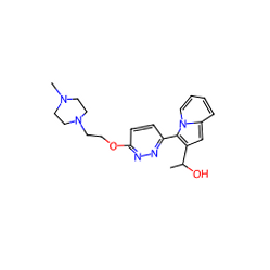 CC(O)c1cc2ccccn2c1-c1ccc(OCCN2CCN(C)CC2)nn1